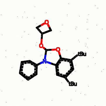 CC(C)(C)c1cc2c(c(C(C)(C)C)c1)OC(OC1COC1)N2c1ccccc1